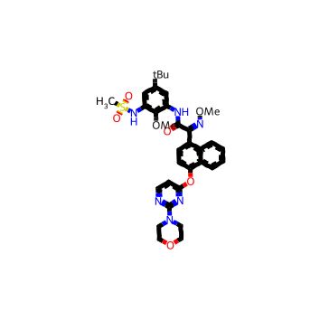 CON=C(C(=O)Nc1cc(C(C)(C)C)cc(NS(C)(=O)=O)c1OC)c1ccc(Oc2ccnc(N3CCOCC3)n2)c2ccccc12